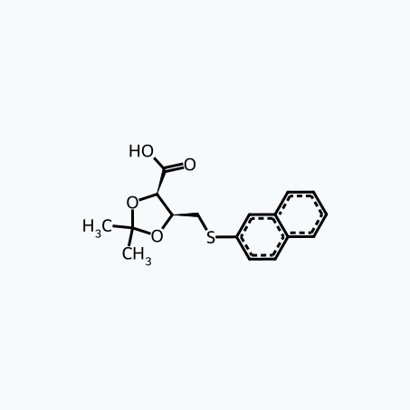 CC1(C)O[C@H](CSc2ccc3ccccc3c2)[C@H](C(=O)O)O1